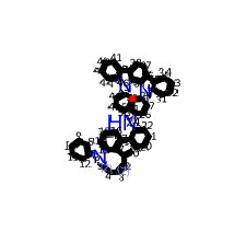 C=C1/C=C\C=C/N(c2ccccc2)c2cccc(-c3ccccc3Nc3ccc(-n4c5ccccc5c5ccc6c7ccccc7n(-c7ccccc7)c6c54)cc3)c21